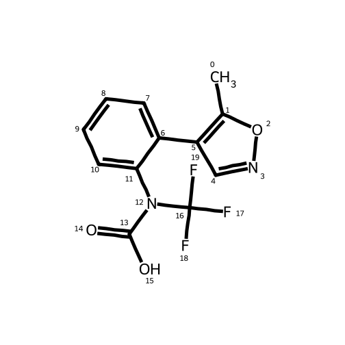 Cc1oncc1-c1ccccc1N(C(=O)O)C(F)(F)F